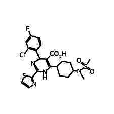 CN(C1CCC(C2=C(C(=O)O)C(c3ccc(F)cc3Cl)N=C(c3nccs3)N2)CC1)S(C)(=O)=O